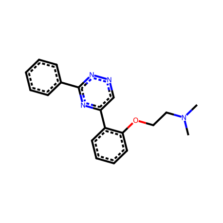 CN(C)CCOc1ccccc1-c1cnnc(-c2ccccc2)n1